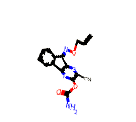 C=CCON=C1c2ccccc2-c2nc(OC(N)=O)c(C#N)nc21